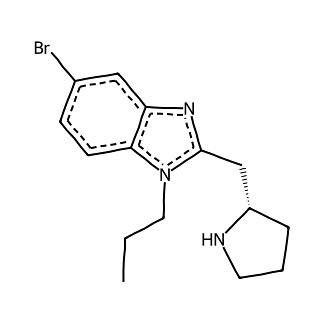 CCCn1c(C[C@@H]2CCCN2)nc2cc(Br)ccc21